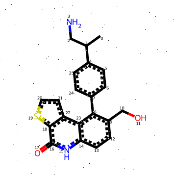 CC(CN)c1ccc(-c2c(CO)ccc3[nH]c(=O)c4sccc4c23)cc1